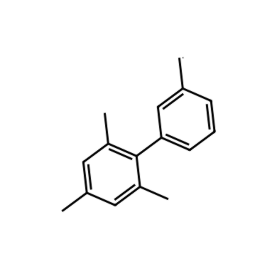 [CH2]c1cccc(-c2c(C)cc(C)cc2C)c1